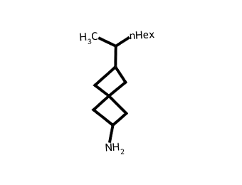 CCCCCCC(C)C1CC2(CC(N)C2)C1